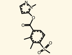 Cc1c(C(=O)Oc2ccnn2C)ccc(S(C)(=O)=O)c1C